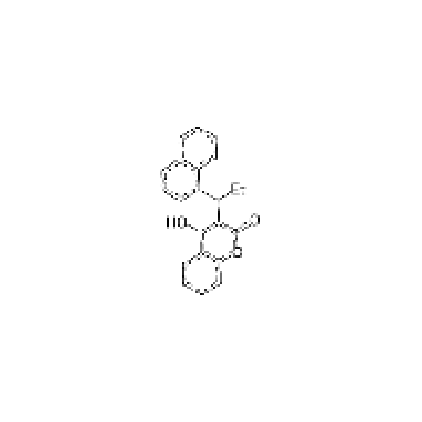 CCC(c1c(O)c2ccccc2oc1=O)c1cccc2ccccc12